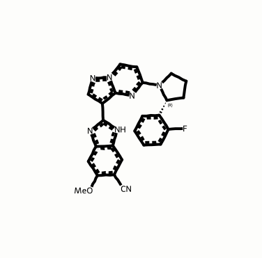 COc1cc2nc(-c3cnn4ccc(N5CCC[C@@H]5c5ccccc5F)nc34)[nH]c2cc1C#N